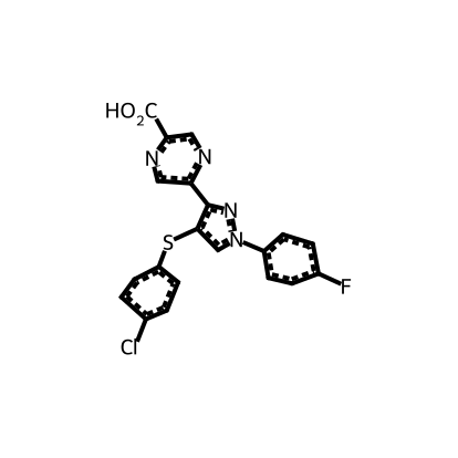 O=C(O)c1cnc(-c2nn(-c3ccc(F)cc3)cc2Sc2ccc(Cl)cc2)cn1